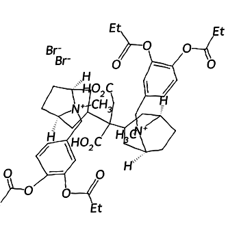 CCC(=O)Oc1ccc(C[N+]2(C)[C@@H]3CC[C@H]2CC(C(CC(=O)O)(C(=O)O)C2C[C@H]4CC[C@@H](C2)[N+]4(C)Cc2ccc(OC(=O)CC)c(OC(=O)CC)c2)C3)cc1OC(=O)CC.[Br-].[Br-]